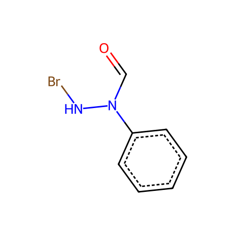 O=CN(NBr)c1ccccc1